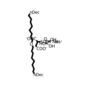 CCCCCCCCCCCCCCCCCCOCCCCCCCCCCCCCCCCCC.O=C([O-])CC(C(=O)[O-])S(=O)(=O)O.O=P(O)(O)O.[Na+].[Na+]